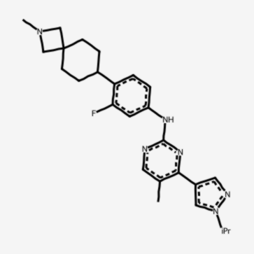 Cc1cnc(Nc2ccc(C3CCC4(CC3)CN(C)C4)c(F)c2)nc1-c1cnn(C(C)C)c1